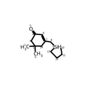 CC1(C)CC(=O)C=C(C[SiH]2CCCC2)C1